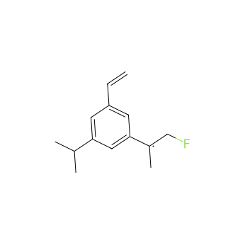 C=Cc1cc([C](C)CF)cc(C(C)C)c1